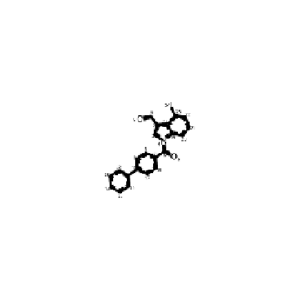 O=Cc1cn(C(=O)c2ccc(-c3ccccc3)cc2)c2cccc(I)c12